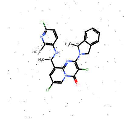 C[C@@H](Nc1ccc(Cl)nc1C(=O)O)c1cc(Cl)cn2c(=O)c(Cl)c(N3Cc4ccccc4[C@@H]3C)nc12